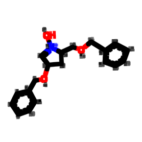 O[N+]1=CC(OCc2ccccc2)CC1COCc1ccccc1